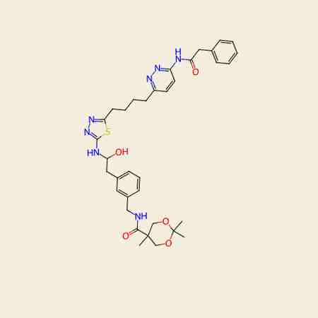 CC1(C)OCC(C)(C(=O)NCc2cccc(CC(O)Nc3nnc(CCCCc4ccc(NC(=O)Cc5ccccc5)nn4)s3)c2)CO1